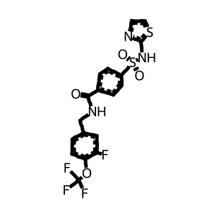 O=C(NCc1ccc(OC(F)(F)F)c(F)c1)c1ccc(S(=O)(=O)Nc2nccs2)cc1